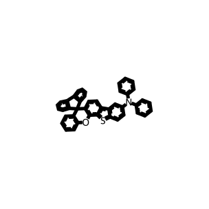 c1ccc(N(c2ccccc2)c2ccc3sc4c5c(ccc4c3c2)C2(c3ccccc3O5)c3ccccc3-c3ccccc32)cc1